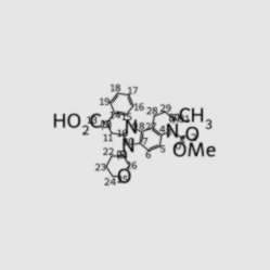 COC(=O)N1c2ccc3c(nc(C[C@H](C(=O)O)c4ccccc4)n3[C@H]3CCCOC3)c2CC[C@@H]1C